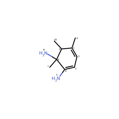 CC1=CC=C(N)C(C)(N)C1C